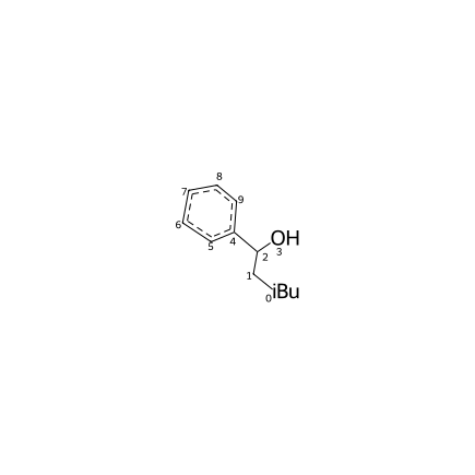 CCC(C)CC(O)c1ccccc1